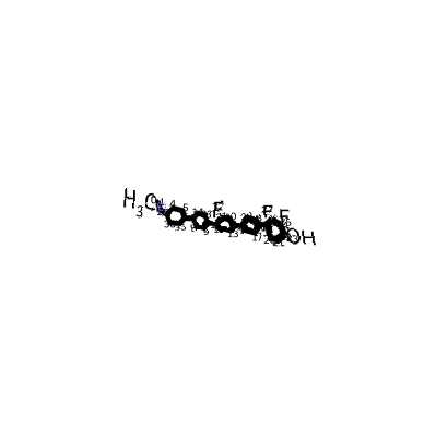 C/C=C/C1CCC(C2CC=C(c3ccc(-c4ccc(-c5ccc(O)c(F)c5F)cc4)cc3F)CC2)CC1